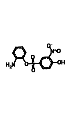 Nc1ccccc1OS(=O)(=O)c1ccc(O)c([N+](=O)[O-])c1